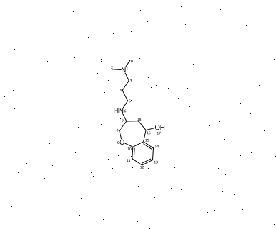 CN(C)CCCNC1COc2ccccc2C(O)C1